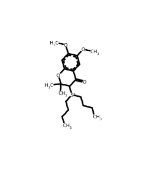 CCCC[S+](CCCC)C1C(=O)c2cc(OC)c(OC)cc2OC1(C)C